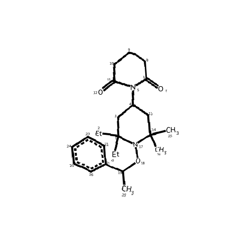 CCC1(CC)CC(N2C(=O)CCCC2=O)CC(C)(C)N1OC(C)c1ccccc1